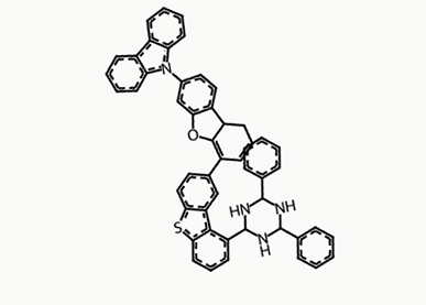 C1=CC(c2ccc3sc4cccc(C5NC(c6ccccc6)NC(c6ccccc6)N5)c4c3c2)=C2Oc3cc(-n4c5ccccc5c5ccccc54)ccc3C2C1